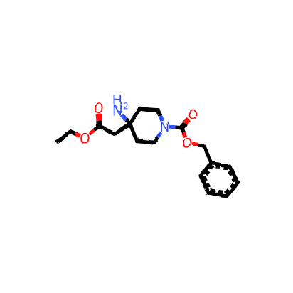 CCOC(=O)CC1(N)CCN(C(=O)OCc2ccccc2)CC1